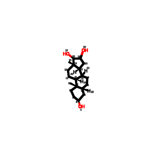 C[C@]12CC[C@H](O)C[C@H]1CC[C@@H]1[C@@H]2CC[C@]2(C)[C@@H](O)C(O)C[C@@H]12